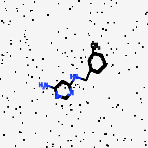 Cc1cccc(CNc2cc(N)ncn2)c1